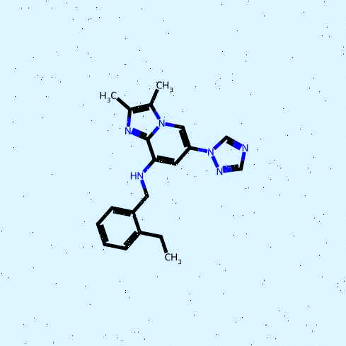 CCc1ccccc1CNc1cc(-n2cncn2)cn2c(C)c(C)nc12